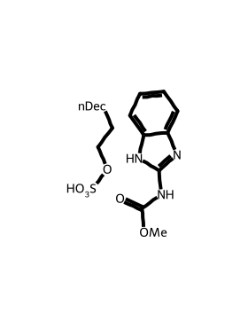 CCCCCCCCCCCCOS(=O)(=O)O.COC(=O)Nc1nc2ccccc2[nH]1